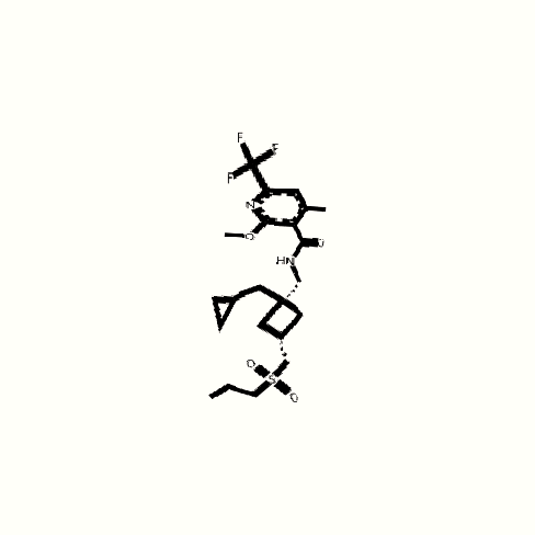 CCCS(=O)(=O)C[C@H]1C[C@](CNC(=O)c2c(C)cc(C(F)(F)F)nc2OC)(CC2CC2)C1